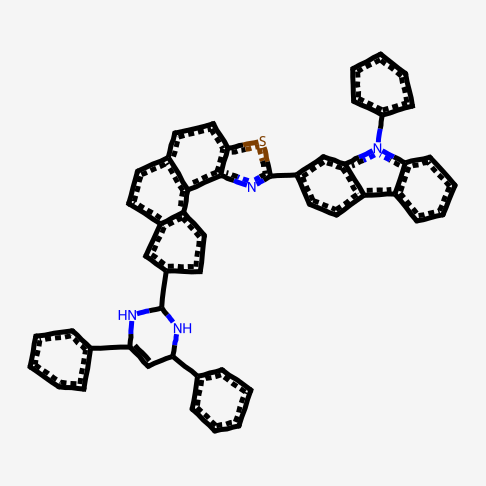 C1=C(c2ccccc2)NC(c2ccc3c(ccc4ccc5sc(-c6ccc7c8ccccc8n(-c8ccccc8)c7c6)nc5c43)c2)NC1c1ccccc1